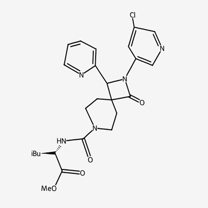 CC[C@H](C)[C@H](NC(=O)N1CCC2(CC1)C(=O)N(c1cncc(Cl)c1)C2c1ccccn1)C(=O)OC